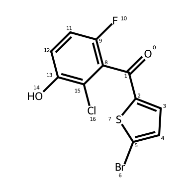 O=C(c1ccc(Br)s1)c1c(F)ccc(O)c1Cl